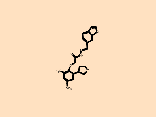 Cc1cc(C)c(OCC(=O)NN=Cc2ccc3cc[nH]c3c2)c(C2CCOC2)c1